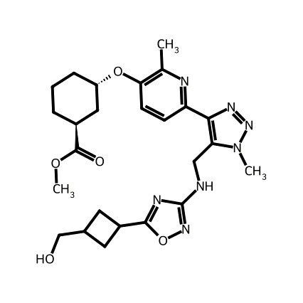 COC(=O)[C@H]1CCC[C@H](Oc2ccc(-c3nnn(C)c3CNc3noc(C4CC(CO)C4)n3)nc2C)C1